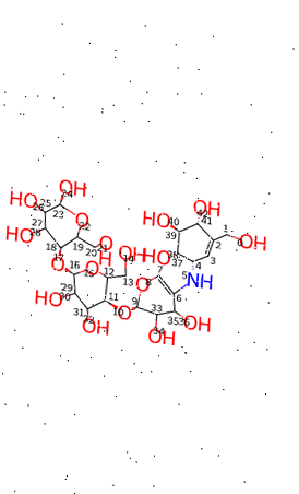 OCC1=C[C@H](NC2=CO[C@H](O[C@@H]3C(CO)O[C@H](O[C@@H]4C(CO)O[C@H](O)C(O)C4O)C(O)C3O)C(O)C2O)[C@H](O)[C@@H](O)[C@@H]1O